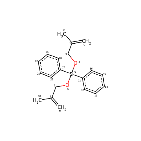 C=C(C)CO[Si](OCC(=C)C)(c1ccccc1)c1ccccc1